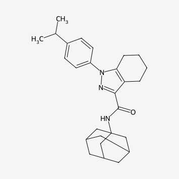 CC(C)c1ccc(-n2nc(C(=O)NC34CC5CC(CC(C5)C3)C4)c3c2CCCC3)cc1